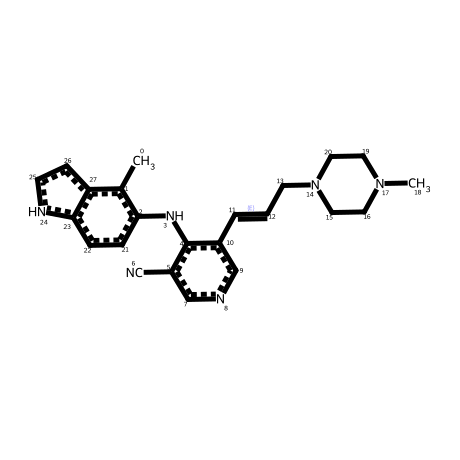 Cc1c(Nc2c(C#N)cncc2/C=C/CN2CCN(C)CC2)ccc2[nH]ccc12